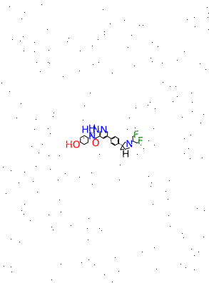 Nc1ncc(-c2ccc([C@]34C[C@H]3CN(C(CF)CF)C4)cc2)cc1C(=O)N[C@H]1CC[C@H](O)CC1